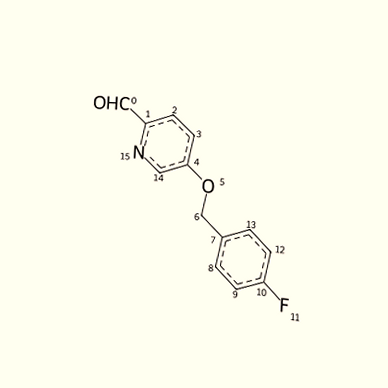 O=Cc1ccc(OCc2ccc(F)cc2)cn1